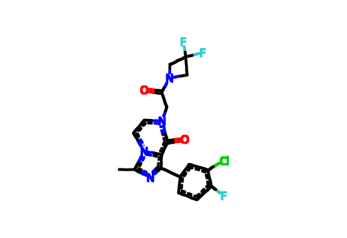 Cc1nc(-c2ccc(F)c(Cl)c2)c2c(=O)n(CC(=O)N3CC(F)(F)C3)ccn12